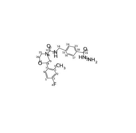 Cc1cc(F)ccc1C1CN(C(=O)NCc2ccc(C(=O)NN)cc2)CCO1